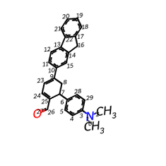 CN(C)c1ccc(C2CC(c3ccc4c(c3)Cc3ccccc3-4)=CC=C2C=O)cc1